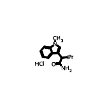 CC(C)C(C(N)=O)c1cn(C)c2ccccc12.Cl